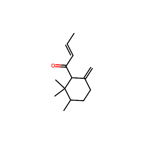 C=C1CCC(C)C(C)(C)C1C(=O)C=CC